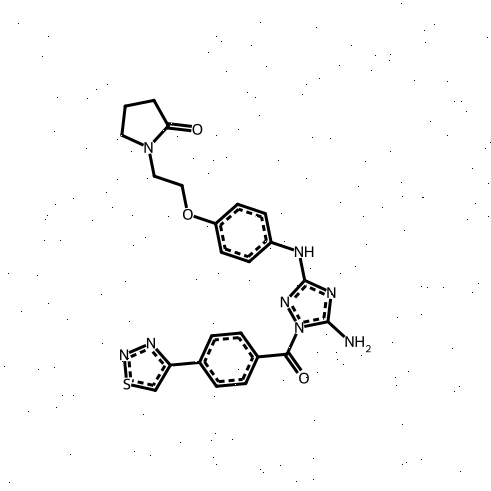 Nc1nc(Nc2ccc(OCCN3CCCC3=O)cc2)nn1C(=O)c1ccc(-c2csnn2)cc1